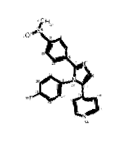 C[S+]([O-])c1ccc(-c2ncc(-c3ccncc3)n2-c2ccc(F)cc2)cc1